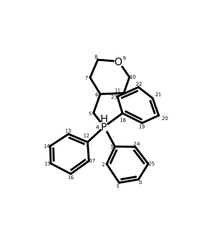 c1ccc([PH](CC2CCOCC2)(c2ccccc2)c2ccccc2)cc1